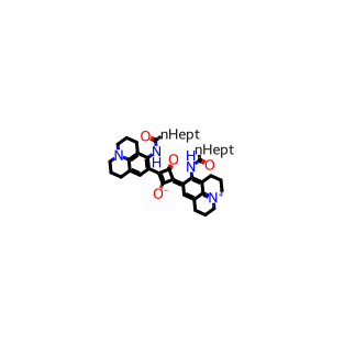 CCCCCCCC(=O)Nc1c(C2=C([O-])/C(=c3\cc4c5c(c3NC(=O)CCCCCCC)CCC[N+]=5CCC4)C2=O)cc2c3c1CCCN3CCC2